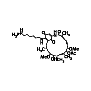 COC1/C=C\C=C(/C)C(=O)NC2=CC(=O)C(NCCCCCCPP)=C(C[C@@H](C)C[C@H](OC)[C@H](O)[C@@H](C)/C=C(\C)[C@@H]1OC(C)=O)C2=O